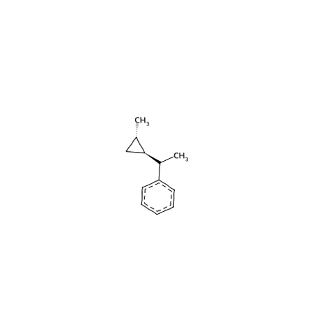 CC(c1ccccc1)[C@H]1C[C@@H]1C